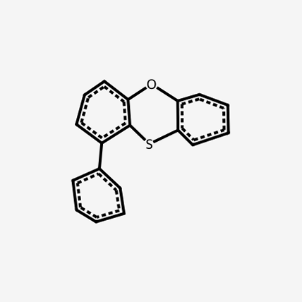 c1ccc(-c2cccc3c2Sc2ccccc2O3)cc1